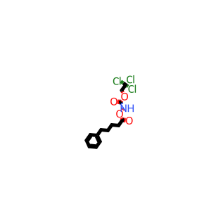 O=C(CCCCc1ccccc1)ONC(=O)OCC(Cl)(Cl)Cl